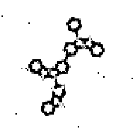 c1ccc(-n2c3ccc(-c4ccc5c(c4)n4c6ccccc6nc4n5-c4ncc5oc6ccccc6c5n4)cc3n3c4ccccc4nc23)cc1